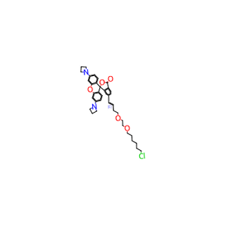 O=C1OC2(c3ccc(N4CCC4)cc3Oc3cc(N4CCC4)ccc32)c2cc(/C=C/CCOCCOCCCCCCCl)ccc21